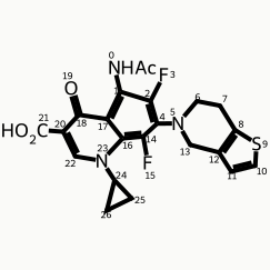 CC(=O)Nc1c(F)c(N2CCc3sccc3C2)c(F)c2c1c(=O)c(C(=O)O)cn2C1CC1